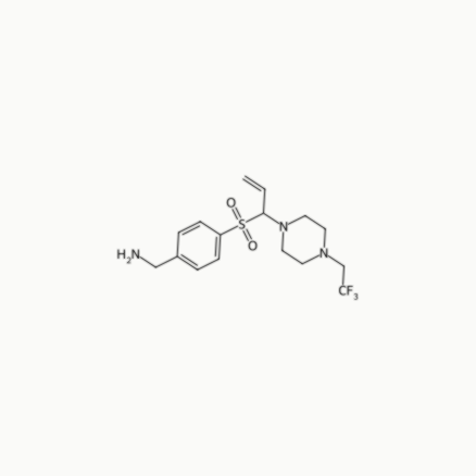 C=CC(N1CCN(CC(F)(F)F)CC1)S(=O)(=O)c1ccc(CN)cc1